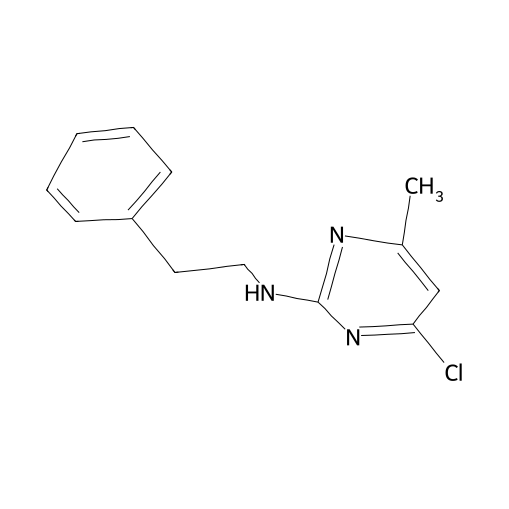 Cc1cc(Cl)nc(NCCc2ccccc2)n1